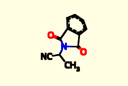 CC(C#N)N1C(=O)c2ccccc2C1=O